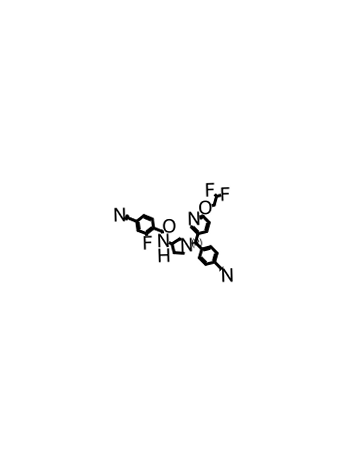 N#Cc1ccc([C@H](c2ccc(OCC(F)F)nc2)N2CCC(NC(=O)c3ccc(C#N)cc3F)C2)cc1